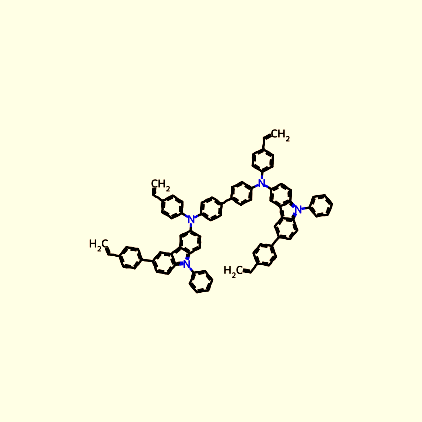 C=Cc1ccc(-c2ccc3c(c2)c2cc(N(c4ccc(C=C)cc4)c4ccc(-c5ccc(N(c6ccc(C=C)cc6)c6ccc7c(c6)c6cc(-c8ccc(C=C)cc8)ccc6n7-c6ccccc6)cc5)cc4)ccc2n3-c2ccccc2)cc1